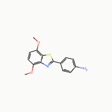 COc1ccc(OC)c2sc(-c3ccc(N)cc3)nc12